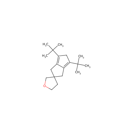 CC(C)(C)C1=C2CC3(CCOC3)CC2=C(C(C)(C)C)C1